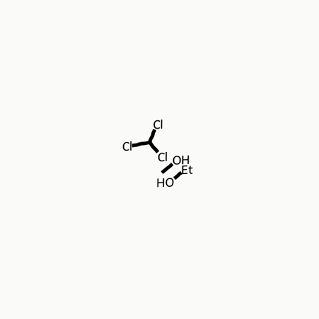 CCO.CO.ClC(Cl)Cl